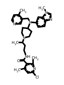 Cc1ccncc1CN(c1ccc2ncn(C)c2c1)C1CCN(C(C)CCNC(=O)c2c(C)cc(Cl)nc2C)CC1